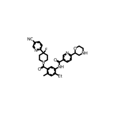 CCc1cc(C)c(C(=O)N2CCC(F)(c3ccc(C#N)cn3)CC2)cc1NC(=O)c1ccc(C2CNCCO2)nc1